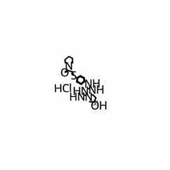 Cl.N=C(NC(=N)N1CC[C@H](O)C1)Nc1ccc(SCC(=O)N2CCCCC2)cc1